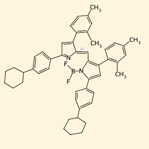 Cc1ccc(C2=CC(c3ccc(C4CCCCC4)cc3)=N/C2=C\c2c(-c3ccc(C)cc3C)cc(-c3ccc(C4CCCCC4)cc3)n2B(F)F)c(C)c1